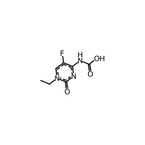 CCn1cc(F)c(NC(=O)O)nc1=O